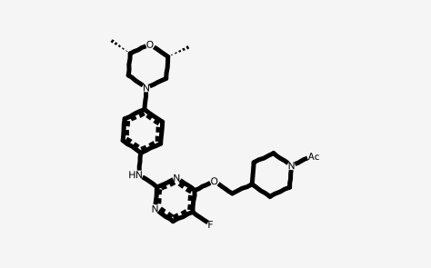 CC(=O)N1CCC(COc2nc(Nc3ccc(N4C[C@@H](C)O[C@@H](C)C4)cc3)ncc2F)CC1